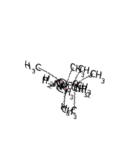 CCCCCCCCCCCCCCCCOC(OCCCCCCCCCCCCCCCC)(C(C)CC(C)N)C(CCCCCCCCCCCCC)CCOCCC(CCCCCCCCCCCCC)C(OCCCCCCCCCCCCCCCC)(OCCCCCCCCCCCCCCCC)C(C)CC(C)N